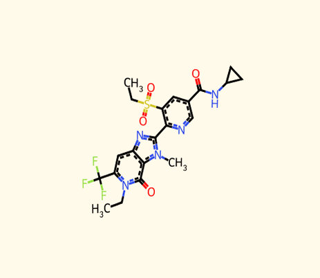 CCn1c(C(F)(F)F)cc2nc(-c3ncc(C(=O)NC4CC4)cc3S(=O)(=O)CC)n(C)c2c1=O